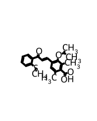 CSc1ccccc1C(=O)/C=C/c1cc(C)c(C(=O)O)c(C)c1OC(C)C